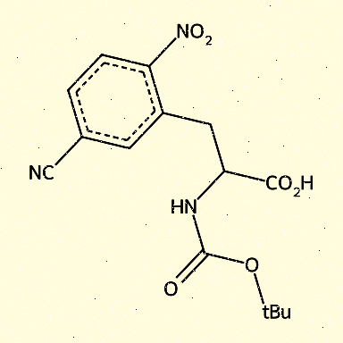 CC(C)(C)OC(=O)NC(Cc1cc(C#N)ccc1[N+](=O)[O-])C(=O)O